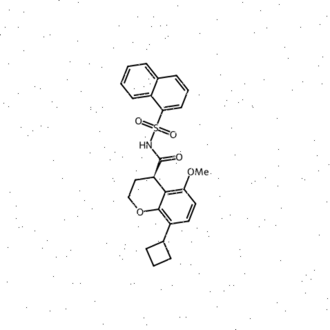 COc1ccc(C2CCC2)c2c1[C@H](C(=O)NS(=O)(=O)c1cccc3ccccc13)CCO2